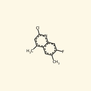 Cc1cc2c(C)cc(Cl)nc2cc1F